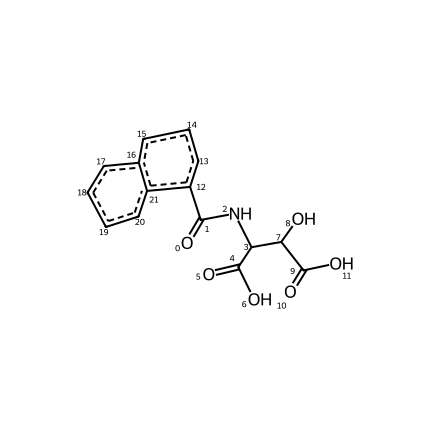 O=C(NC(C(=O)O)C(O)C(=O)O)c1cccc2ccccc12